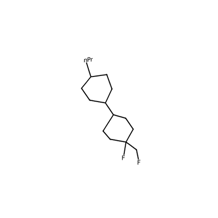 CCCC1CCC(C2CCC(F)(CF)CC2)CC1